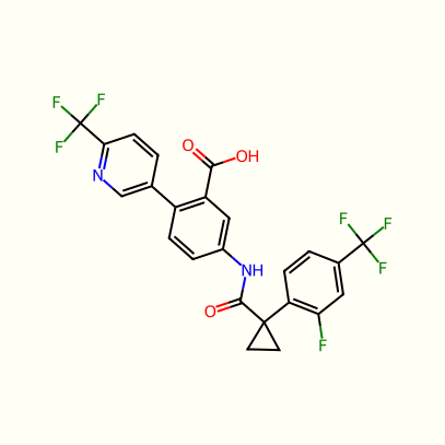 O=C(O)c1cc(NC(=O)C2(c3ccc(C(F)(F)F)cc3F)CC2)ccc1-c1ccc(C(F)(F)F)nc1